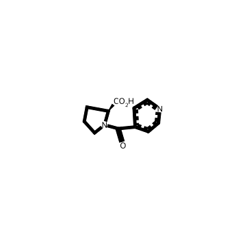 O=C(O)[C@@H]1CCCN1C(=O)c1ccncc1